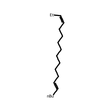 CC/C=C\[CH]CCCCCCCC=CCCCC